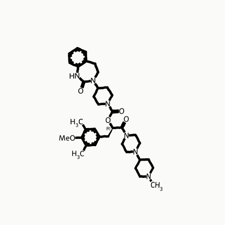 COc1c(C)cc(C[C@@H](OC(=O)N2CCC(N3CCc4ccccc4NC3=O)CC2)C(=O)N2CCN(C3CCN(C)CC3)CC2)cc1C